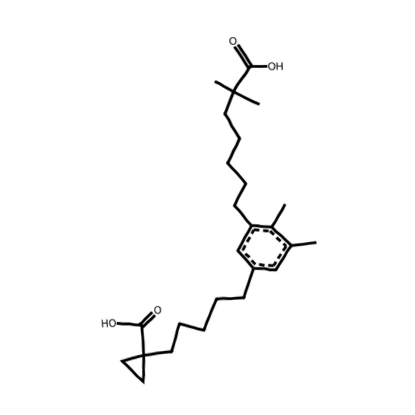 Cc1cc(CCCCCC2(C(=O)O)CC2)cc(CCCCCC(C)(C)C(=O)O)c1C